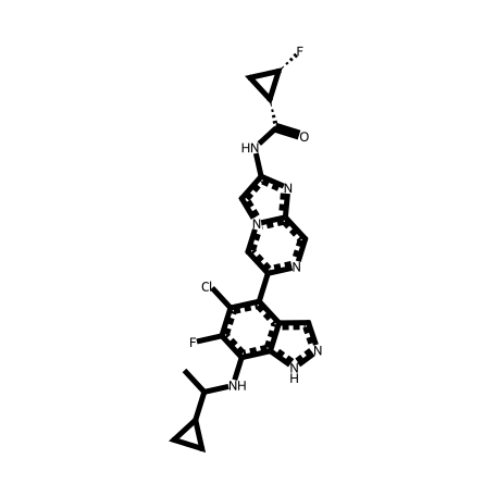 CC(Nc1c(F)c(Cl)c(-c2cn3cc(NC(=O)[C@@H]4C[C@@H]4F)nc3cn2)c2cn[nH]c12)C1CC1